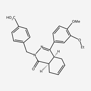 CCOc1cc(C2=NN(Cc3ccc(C(=O)O)cc3)C(=O)[C@@H]3CC=CC[C@H]23)ccc1OC